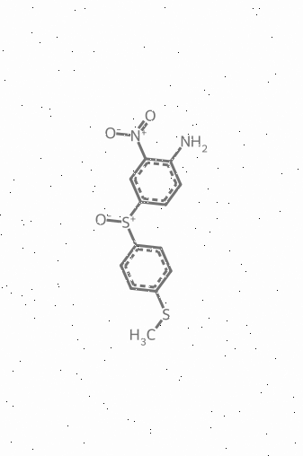 CSc1ccc([S+]([O-])c2ccc(N)c([N+](=O)[O-])c2)cc1